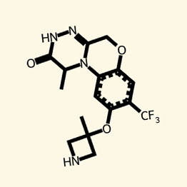 CC1C(=O)NN=C2COc3cc(C(F)(F)F)c(OC4(C)CNC4)cc3N21